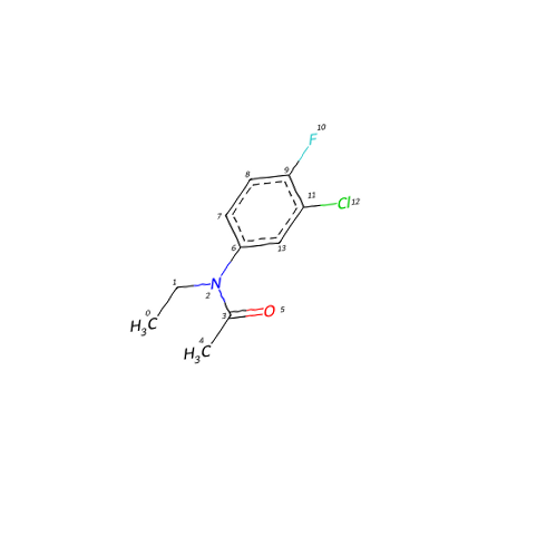 CCN(C(C)=O)c1ccc(F)c(Cl)c1